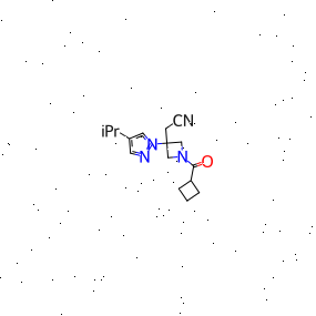 CC(C)c1cnn(C2(CC#N)CN(C(=O)C3CCC3)C2)c1